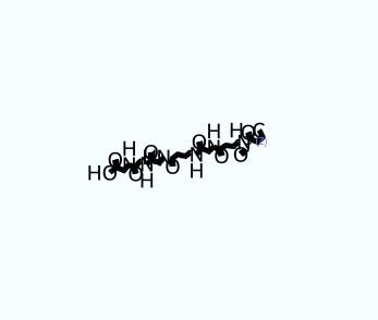 C/C=C\C(=O)N(C=O)CCCC(=O)NCC(=O)NCCCC(=O)NCC(=O)NCC(=O)NCC(=O)O